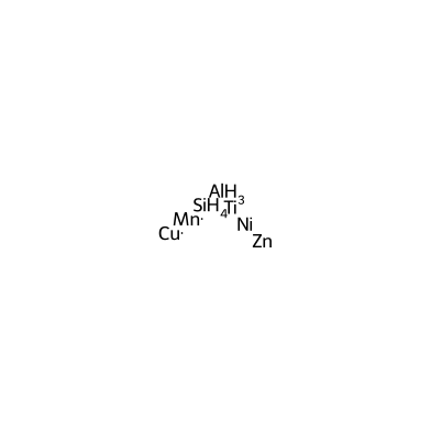 [AlH3].[Cu].[Mn].[Ni].[SiH4].[Ti].[Zn]